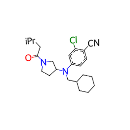 CC(C)CC(=O)N1CCC(N(CC2CCCCC2)c2ccc(C#N)c(Cl)c2)C1